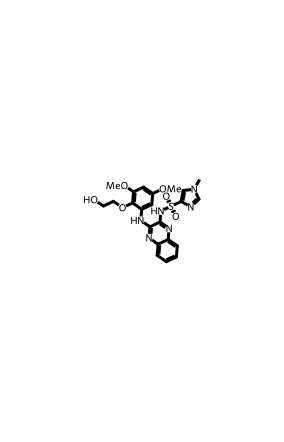 COc1cc(Nc2nc3ccccc3nc2NS(=O)(=O)c2cn(C)cn2)c(OCCO)c(OC)c1